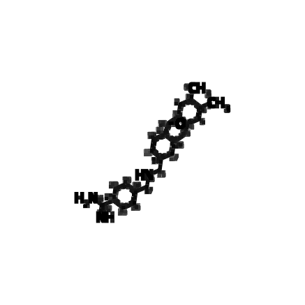 Cc1cc2c(cc1C)c1oc2c2ccc(CNCc3ccc(C(=N)N)cc3)cc21